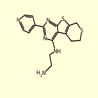 NCCNc1nc(-c2ccncc2)nc2sc3c(c12)CCSC3